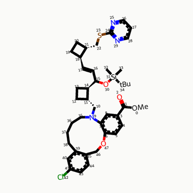 COC(=O)c1ccc2c(c1)N(C[C@@H]1CC[C@H]1C(/C=C/[C@H]1CC[C@@H]1CSc1ncccn1)O[Si](C)(C)C(C)(C)C)CCCCc1cc(Cl)ccc1CO2